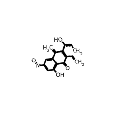 C=CC1=C(/C(O)=C\C)C(=C)c2cc(N=O)cc(O)c2C1=O